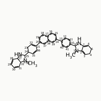 CN1C2=CCCC=C2NC1c1ccc(-c2ccc3ccc(C4=CCC(C5NC6C=CC=CC6N5C)C=C4)cc3c2)cc1